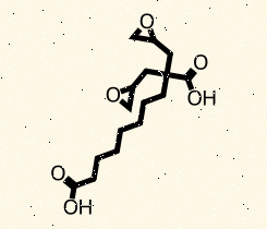 O=C(O)CCCCCCCC(CC1CO1)(CC1CO1)C(=O)O